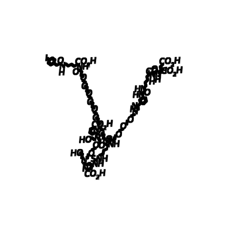 O=C(O)CC[C@H](NC(=O)N[C@@H](CCCCNC(=O)Nc1cccc(-c2cn(CCOCCOCCOCCC(=O)N[C@@H](CCCCNC(=S)Nc3cc(CN(CCO)CCOCCOCCN(CCO)Cc4cccc(C(=O)O)n4)nc(C(=O)O)c3)C(=O)NCCOCCOCCOCCOCCOCCOCCOCCOCCC(=O)N[C@@H](CCCCNC(=O)Cc3ccc(I)cc3)C(=O)O)nn2)c1)C(=O)O)C(=O)O